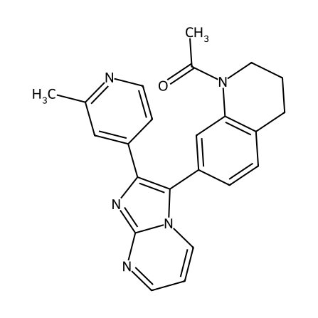 CC(=O)N1CCCc2ccc(-c3c(-c4ccnc(C)c4)nc4ncccn34)cc21